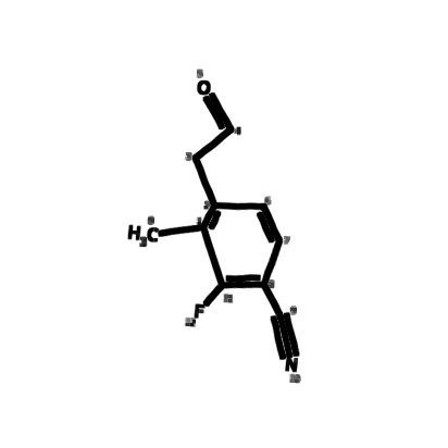 Cc1c(CC=O)ccc(C#N)c1F